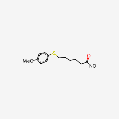 COc1ccc(SCCCCCC(=O)N=O)cc1